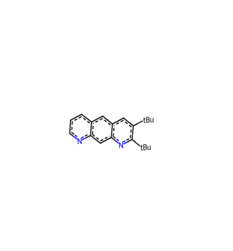 CC(C)(C)c1cc2cc3cccnc3cc2nc1C(C)(C)C